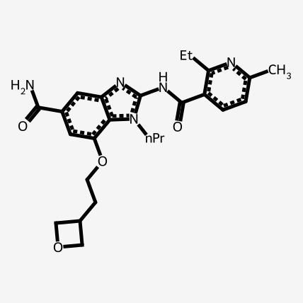 CCCn1c(NC(=O)c2ccc(C)nc2CC)nc2cc(C(N)=O)cc(OCCC3COC3)c21